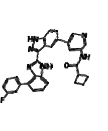 O=C(Nc1cncc(-c2ccc3[nH]nc(-c4nc5c(-c6cccc(F)c6)cccc5[nH]4)c3c2)c1)C1CCC1